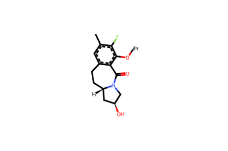 Cc1cc2c(c(OC(C)C)c1F)C(=O)N1C[C@@H](O)C[C@@H]1CC2